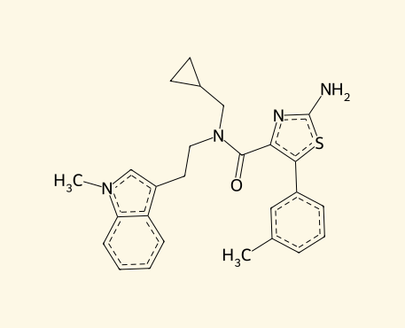 Cc1cccc(-c2sc(N)nc2C(=O)N(CCc2cn(C)c3ccccc23)CC2CC2)c1